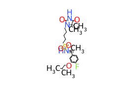 CC(C)COc1cc([C@@H](C)NS(=O)(=O)CCCCCN2C(=O)NC(=O)C2(C)C)ccc1F